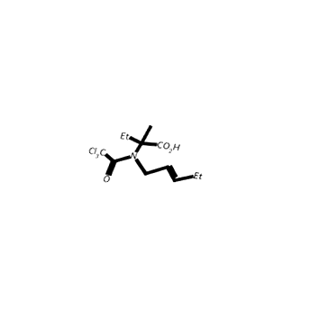 CCC=CCN(C(=O)C(Cl)(Cl)Cl)C(C)(CC)C(=O)O